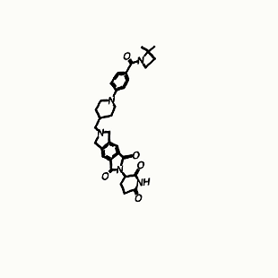 CC1(C)CCN1C(=O)c1ccc(N2CCC(CN3Cc4cc5c(cc4C3)C(=O)N(C3CCC(=O)NC3=O)C5=O)CC2)cc1